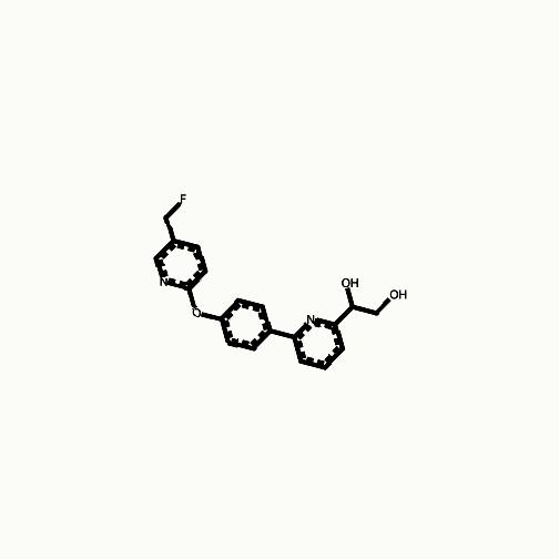 OCC(O)c1cccc(-c2ccc(Oc3ccc(CF)cn3)cc2)n1